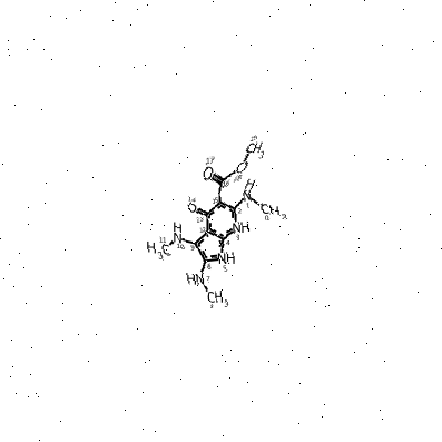 CNc1[nH]c2[nH]c(NC)c(NC)c2c(=O)c1C(=O)OC